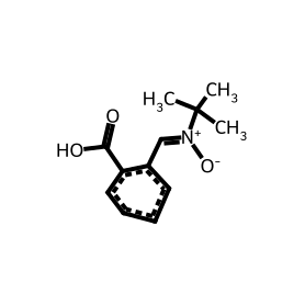 CC(C)(C)[N+]([O-])=Cc1ccccc1C(=O)O